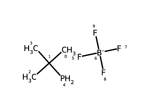 CC(C)(C)P.F[B-](F)(F)F